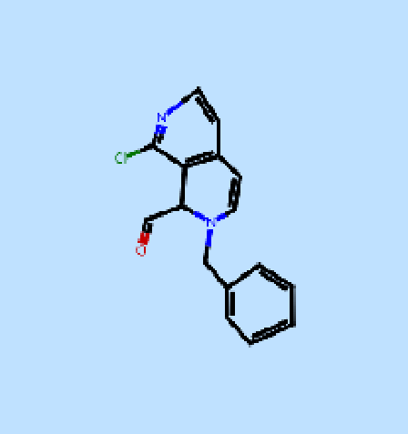 O=CC1c2c(ccnc2Cl)C=CN1Cc1ccccc1